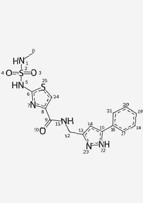 CNS(=O)(=O)Nc1nc(C(=O)NCc2cc(-c3ccccc3)[nH]n2)cs1